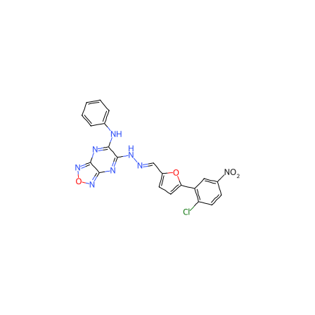 O=[N+]([O-])c1ccc(Cl)c(-c2ccc(C=NNc3nc4nonc4nc3Nc3ccccc3)o2)c1